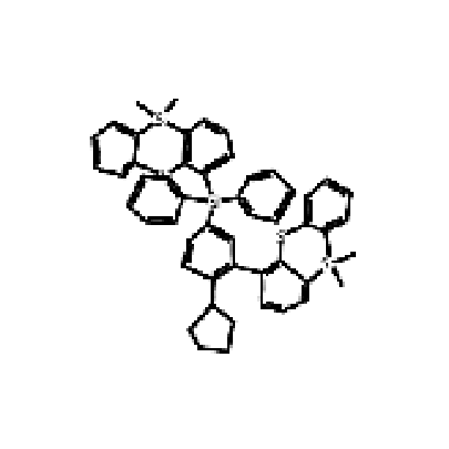 C[Si]1(C)c2ccccc2Sc2c(-c3cc([Si](c4ccccc4)(c4ccccc4)c4cccc5c4Sc4ccccc4[Si]5(C)C)ccc3C3CCCC3)cccc21